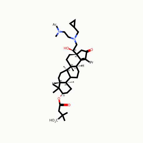 CC(=O)N(C)CCN(CC1CC1)C[C@H](O)[C@@]12CC[C@]3(C)[C@H](CCC4[C@@]5(C)CC[C@H](OC(=O)CC(C)(C)C(=O)O)C(C)(C)[C@@H]5CC[C@]43C)C1=C(C(C)C)C(=O)C2